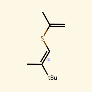 C=C(C)S/C=C(\C)C(C)(C)C